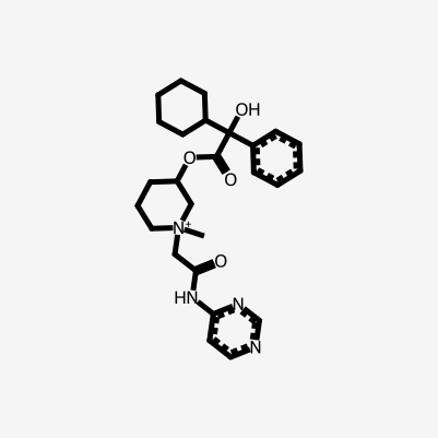 C[N+]1(CC(=O)Nc2ccncn2)CCCC(OC(=O)C(O)(c2ccccc2)C2CCCCC2)C1